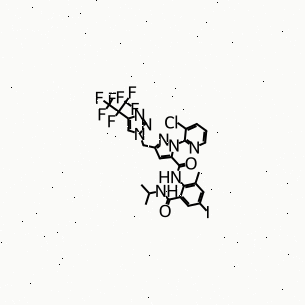 Cc1cc(I)cc(C(=O)NC(C)C)c1NC(=O)c1cc(Cn2cc(C(F)(C(F)(F)F)C(F)(F)F)nn2)nn1-c1ncccc1Cl